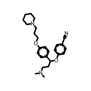 CN(C)CCC(Oc1ccc(C#N)cc1)c1ccc(OCCCN2CCCCC2)cc1